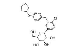 OC[C@H]1O[C@@H](c2ccc(Cl)c(Cc3ccc(SC4CCCC4)cc3)c2)[C@H](O)[C@@H](O)[C@@H]1O